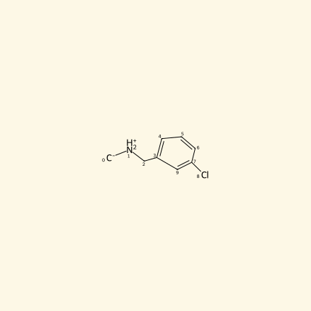 [CH2-][NH2+]Cc1cccc(Cl)c1